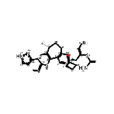 C=C(N)S/C(=C\C(C)CC)CN(C)/N=C\C1=C(C=C2CCC2)CC[C@@H](C)C(C)=C1S/C(=C/C)Cc1cc[nH]n1